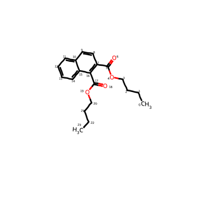 CCCCOC(=O)c1ccc2ccccc2c1C(=O)OCCCC